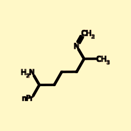 C=NC(C)CCCC(N)CCC